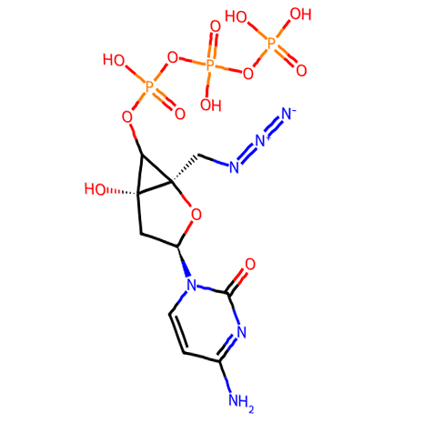 [N-]=[N+]=NC[C@]12O[C@@H](n3ccc(N)nc3=O)C[C@@]1(O)C2OP(=O)(O)OP(=O)(O)OP(=O)(O)O